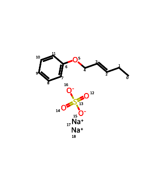 CCC=CCOc1ccccc1.O=S(=O)([O-])[O-].[Na+].[Na+]